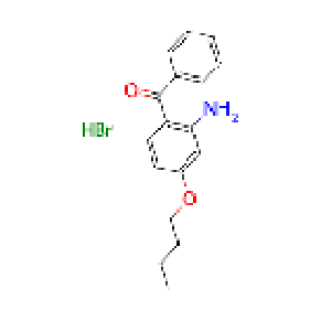 Br.CCCCOc1ccc(C(=O)c2ccccc2)c(N)c1